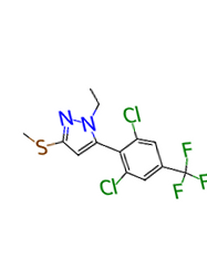 CCn1nc(SC)cc1-c1c(Cl)cc(C(F)(F)F)cc1Cl